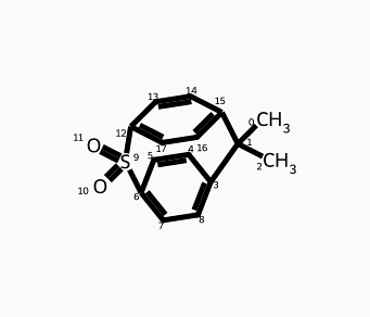 CC1(C)c2ccc(cc2)S(=O)(=O)c2ccc1cc2